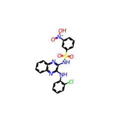 O=[N+](O)c1cccc(S(=O)(=O)Nc2nc3ccccc3nc2Nc2ccccc2Cl)c1